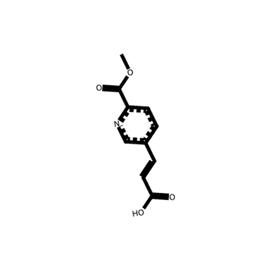 COC(=O)c1ccc(/C=C/C(=O)O)cn1